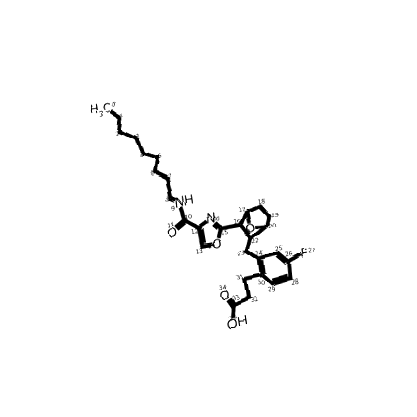 CCCCCCCCCNC(=O)c1coc(C2C3CCC(O3)C2Cc2cc(F)ccc2CCC(=O)O)n1